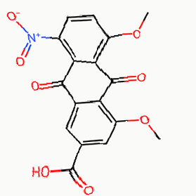 COc1cc(C(=O)O)cc2c1C(=O)c1c(OC)ccc([N+](=O)[O-])c1C2=O